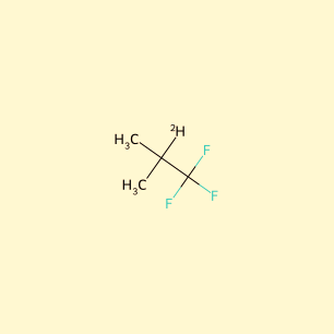 [2H]C(C)(C)C(F)(F)F